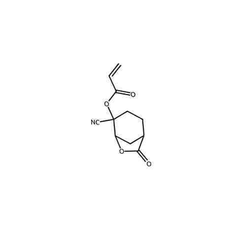 C=CC(=O)OC1(C#N)CCC2CC1OC2=O